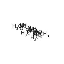 COc1ccc(-c2cccc(C(=O)N(C)C)c2)cc1S(=O)(=O)Nc1cccc(O[C@@H]2CN(C(=O)c3cc(C)ccc3C)C[C@@H]2OC)c1